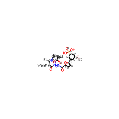 CCCCC[C@@H](C(=O)NCNC(=O)c1ccc(-c2cc(OCC)cc(P(=O)(O)O)c2)o1)[C@@H](CC)N(C=O)OC(=O)C(CC)CC